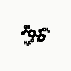 COc1cc(C(=O)O)ccc1-c1ncccc1OC